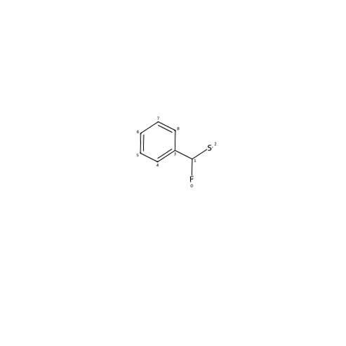 FC([S])c1ccccc1